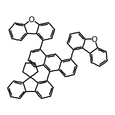 c1ccc2c(c1)-c1cccc(-c3c4cccc(-c5cccc6oc7ccccc7c56)c4cc4c(-c5cccc6oc7ccccc7c56)cccc34)c1C21CCCC1